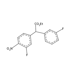 CCOC(=O)C(c1cccc(F)c1)c1ccc([N+](=O)[O-])c(F)c1